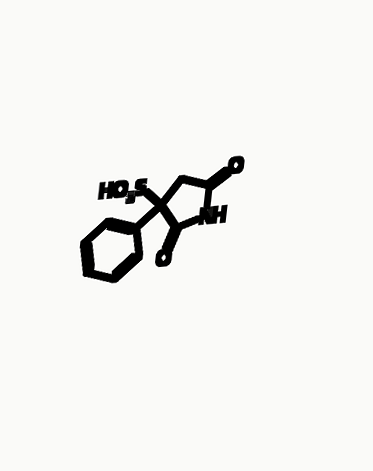 O=C1CC(c2ccccc2)(S(=O)(=O)O)C(=O)N1